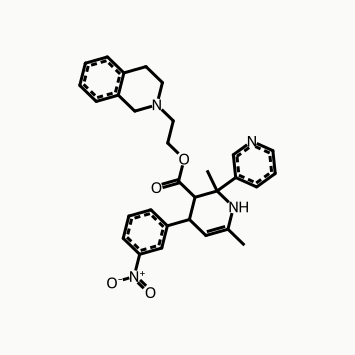 CC1=CC(c2cccc([N+](=O)[O-])c2)C(C(=O)OCCN2CCc3ccccc3C2)C(C)(c2cccnc2)N1